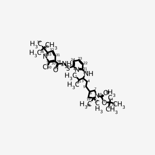 CC(C)C(CCC1CN(C(=O)OC(C)(C)C)C(C)(C)C1)Nc1cccc(SNC(=O)c2ccc(C(C)(C)C)nc2Cl)n1